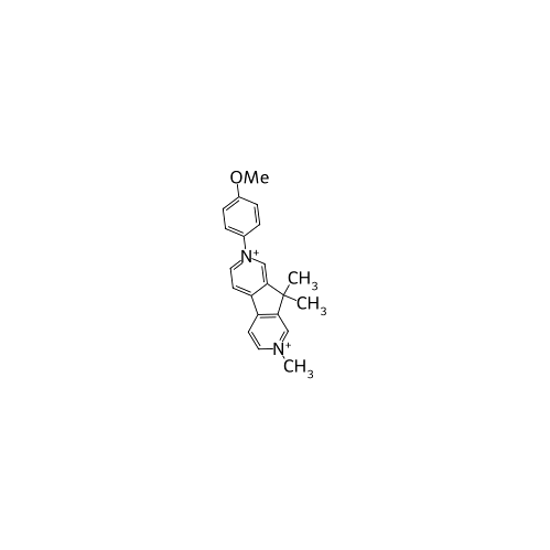 COc1ccc(-[n+]2ccc3c(c2)C(C)(C)c2c[n+](C)ccc2-3)cc1